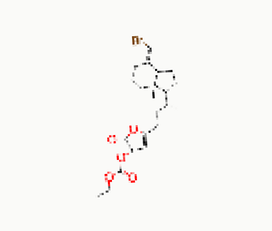 CCOC(=O)O[C@]1(C)C=C(CC[C@@H](C)[C@H]2CCC3C(=CBr)CCC[C@]32C)OC1=O